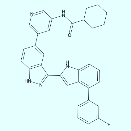 O=C(Nc1cncc(-c2ccc3[nH]nc(-c4cc5c(-c6cccc(F)c6)cccc5[nH]4)c3c2)c1)C1CCCCC1